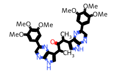 COc1cc(-c2cnc3[nH]cc(C(C)C(=O)C(C)c4c[nH]c5ncc(-c6cc(OC)c(OC)c(OC)c6)nc45)c3n2)cc(OC)c1OC